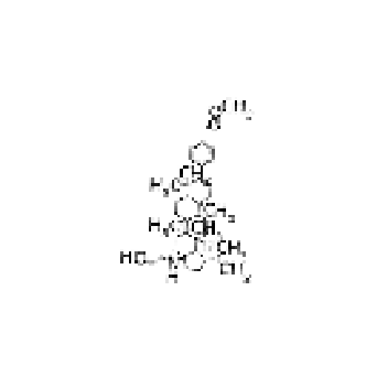 COOCc1ccc(C2=CC[C@@]3(C)C(CC[C@]4(C)C3CC[C@@H]3C5[C@H](C(C)C)CC[C@]5(NCCO)CC[C@]34C)C2(C)C)cc1